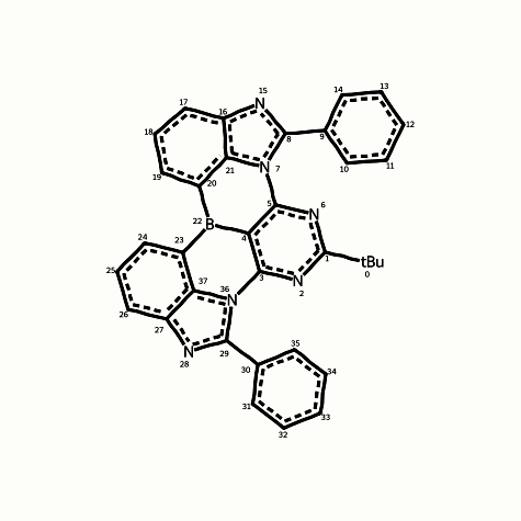 CC(C)(C)c1nc2c3c(n1)-n1c(-c4ccccc4)nc4cccc(c41)B3c1cccc3nc(-c4ccccc4)n-2c13